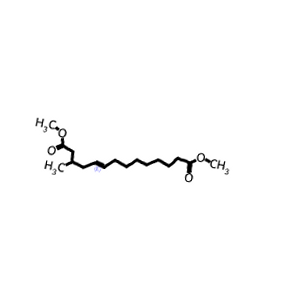 COC(=O)CCCCCCC/C=C/CC(C)CC(=O)OC